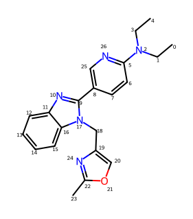 CCN(CC)c1ccc(-c2nc3ccccc3n2Cc2coc(C)n2)cn1